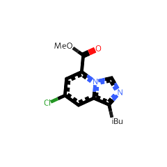 CCC(C)c1ncn2c(C(=O)OC)cc(Cl)cc12